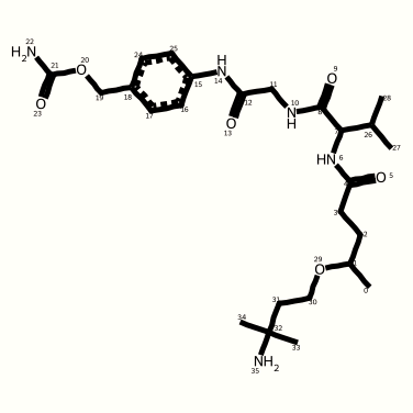 CC(CCC(=O)NC(C(=O)NCC(=O)Nc1ccc(COC(N)=O)cc1)C(C)C)OCCC(C)(C)N